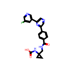 O=C(O)NC1(CNC(=O)c2ccc(-c3cncc(-c4cncc(F)c4)n3)cc2)CC1